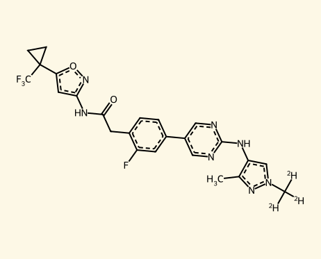 [2H]C([2H])([2H])n1cc(Nc2ncc(-c3ccc(CC(=O)Nc4cc(C5(C(F)(F)F)CC5)on4)c(F)c3)cn2)c(C)n1